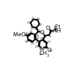 CCNC(=O)CC1OC(C2CCCCC2)c2cc(OC)ccc2-c2cn(C)c(=O)cc21